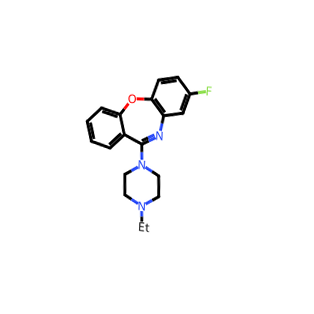 CCN1CCN(C2=Nc3cc(F)ccc3Oc3ccccc32)CC1